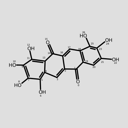 O=C1C2=Cc3c(O)c(O)c(O)c(O)c3C(=O)C2=Cc2c1cc(O)c(O)c2O